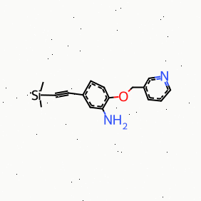 C[Si](C)(C)C#Cc1ccc(OCc2cccnc2)c(N)c1